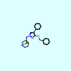 c1ccc(COc2nn(CC3CN4CCC3CC4)cc2-c2ccccc2)cc1